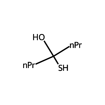 CCCC(O)(S)CCC